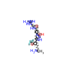 C[C@H](N)CCCc1cc(OC(F)(F)F)c(F)c(-c2cc3c([nH]2)=NC(O)N(c2ccc([C@@H]4COC[C@H](CCNC(=N)N)N4)cc2)C=3)c1